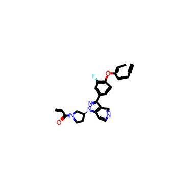 C#C/C=C\C(=C/C)Oc1ccc(-c2nn([C@@H]3CCN(C(=O)C=C)C3)c3ccncc23)cc1F